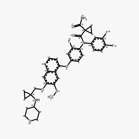 COc1cc2c(Oc3ccc(N(C(=O)C4(C(N)=O)CC4)c4ccc(F)c(F)c4)c(F)c3)ccnc2cc1OCC1(NC2CCOCC2)CC1